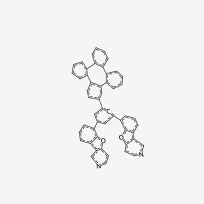 c1ccc2c(c1)-c1ccccc1-c1ccc(-c3cc(-c4cccc5c4oc4ccncc45)cc(-c4cccc5c4oc4ccncc45)c3)cc1-c1ccccc1-2